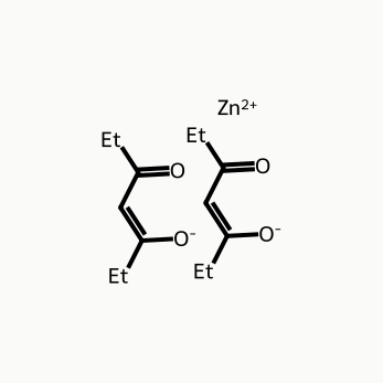 CCC(=O)C=C([O-])CC.CCC(=O)C=C([O-])CC.[Zn+2]